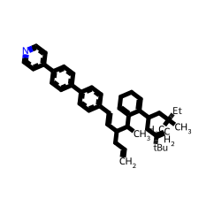 C=CCC(/C=C/c1ccc(-c2ccc(-c3ccncc3)cc2)cc1)C(C)C1=CCCC=C1C(CC(=C)C(C)(C)C)CC(C)(C)CC